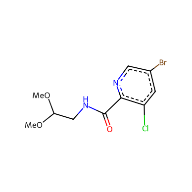 COC(CNC(=O)c1ncc(Br)cc1Cl)OC